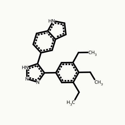 CCc1cc(-c2nn[nH]c2-c2ccc3[nH]ccc3c2)cc(CC)c1CC